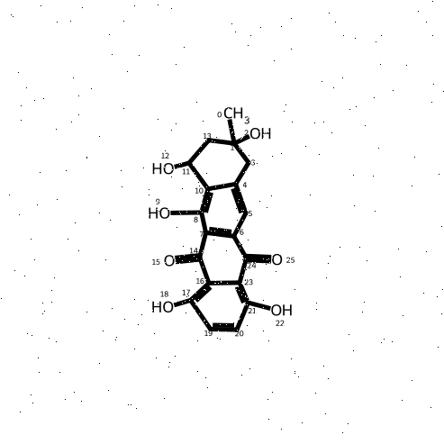 CC1(O)Cc2cc3c(c(O)c2C(O)C1)C(=O)c1c(O)ccc(O)c1C3=O